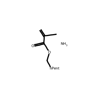 C=C(C)C(=O)OCCCCCC.N